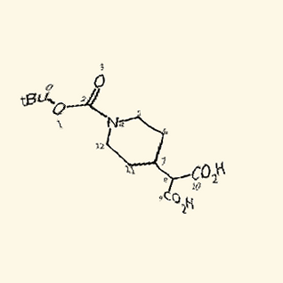 CC(C)(C)OC(=O)N1CCC(C(C(=O)O)C(=O)O)CC1